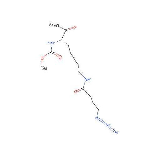 COC(=O)[C@H](CCCCNC(=O)CCCN=[N+]=[N-])NC(=O)OC(C)(C)C